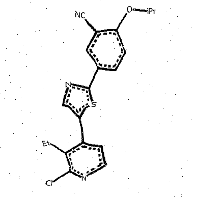 CCc1c(-c2cnc(-c3ccc(OC(C)C)c(C#N)c3)s2)ccnc1Cl